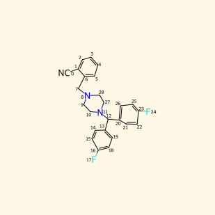 N#Cc1ccccc1CN1CCN(C(c2ccc(F)cc2)c2ccc(F)cc2)CC1